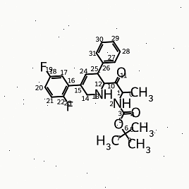 CC(NC(=O)OC(C)(C)C)C(=O)C1NCC(c2cc(F)ccc2F)=CC1c1ccccc1